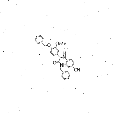 COc1cc(C(Nc2ccc(C#N)cc2)C(=O)NCc2ccccc2)ccc1OCc1ccccc1